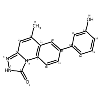 Cc1cc2n[nH]c(=O)n2c2ccc(-c3cccc(O)c3)cc12